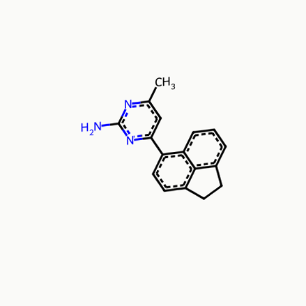 Cc1cc(-c2ccc3c4c(cccc24)CC3)nc(N)n1